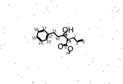 C=CC[C@@H](C(=O)OC)[C@H](O)CCc1ccccc1